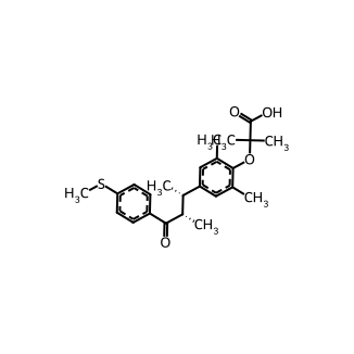 CSc1ccc(C(=O)[C@@H](C)[C@H](C)c2cc(C)c(OC(C)(C)C(=O)O)c(C)c2)cc1